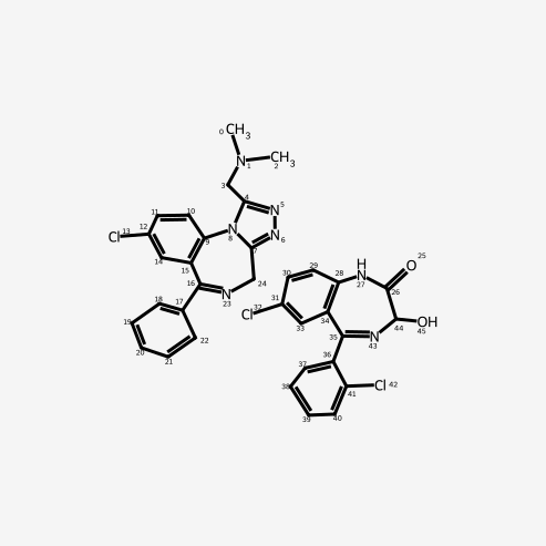 CN(C)Cc1nnc2n1-c1ccc(Cl)cc1C(c1ccccc1)=NC2.O=C1Nc2ccc(Cl)cc2C(c2ccccc2Cl)=NC1O